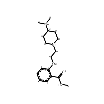 COC(=O)c1ccccc1OCCN1CCC(N(C)C)CC1